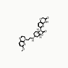 COc1ccc2c(n1)N(CCN[C@H]1CC[C@@H]3[C@@H](C1)OC(=O)N3c1ccc3c(n1)NC(=O)CO3)CC=N2